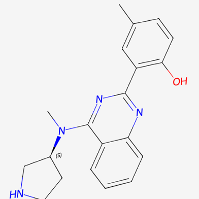 Cc1ccc(O)c(-c2nc(N(C)[C@H]3CCNC3)c3ccccc3n2)c1